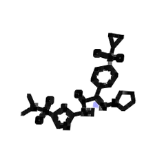 CN(C)S(=O)(=O)c1cnc(NC(=O)/C(=N/N2CCCC2)c2ccc(S(=O)(=O)C3CC3)cc2)s1